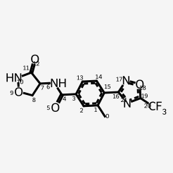 Cc1cc(C(=O)NC2CONC2=O)ccc1-c1noc(C(F)(F)F)n1